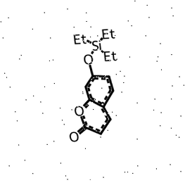 CC[Si](CC)(CC)Oc1ccc2ccc(=O)oc2c1